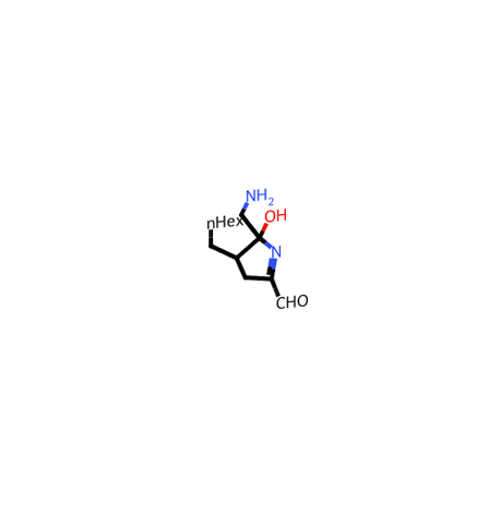 CCCCCCCC1CC(C=O)=NC1(O)CN